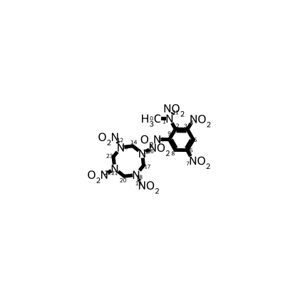 CN(c1c([N+](=O)[O-])cc([N+](=O)[O-])cc1[N+](=O)[O-])[N+](=O)[O-].O=[N+]([O-])N1CN([N+](=O)[O-])CN([N+](=O)[O-])CN([N+](=O)[O-])C1